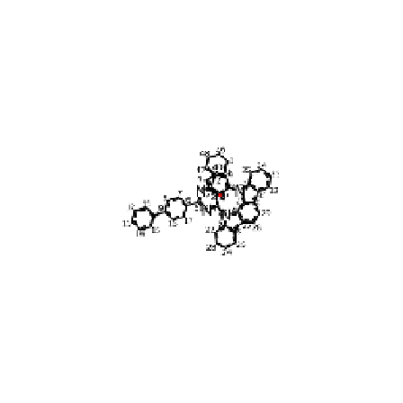 C1=CC(c2nc(-c3ccc(-c4ccccc4)cc3)nc(-n3c4ccccc4c4ccc5c6ccccc6n(-c6ccccc6)c5c43)n2)=CCC1